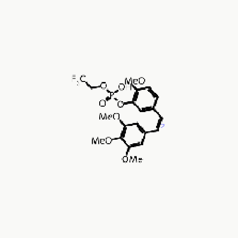 COc1ccc(/C=C\c2cc(OC)c(OC)c(OC)c2)cc1OP(=O)(O)OCC(F)(F)F